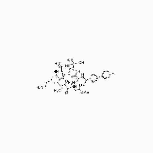 COC(=O)CNC(=O)C(=O)[C@H](C)NC(=O)[C@H](CCCCN)NC(=O)[C@H](C)NC(=O)[C@@H](NC(=O)[C@H](CN)NC(=O)c1ccc(-c2ccc(Cl)cc2)cc1)[C@@H](C)O